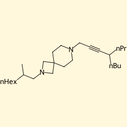 CCCCCCC(C)CN1CC2(CCN(CC#CC(CCC)CCCC)CC2)C1